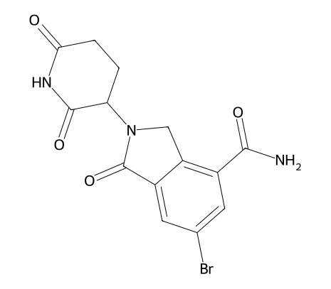 NC(=O)c1cc(Br)cc2c1CN(C1CCC(=O)NC1=O)C2=O